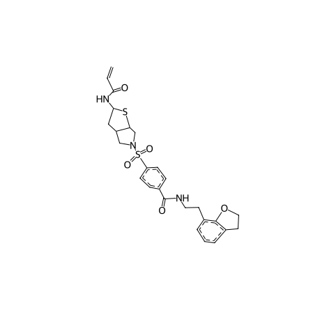 C=CC(=O)NC1CC2CN(S(=O)(=O)c3ccc(C(=O)NCCc4cccc5c4OCC5)cc3)CC2S1